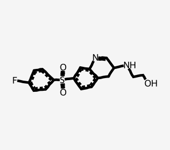 O=S(=O)(c1ccc(F)cc1)c1ccc2c(c1)N=CC(NCCO)C2